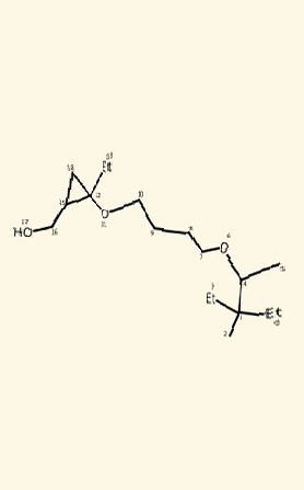 CCC(C)(CC)C(C)OCCCCOC1(CC)CC1CO